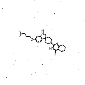 CN(C)CCCOc1ccc2c(c1)NCC21CCN(c2nc3c(c(=O)[nH]2)CCCC3)CC1